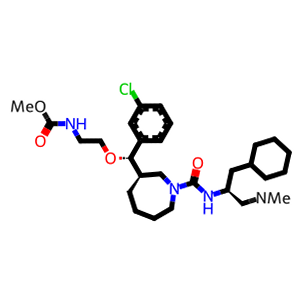 CNC[C@H](CC1CCCCC1)NC(=O)N1CCCC[C@@H]([C@H](OCCNC(=O)OC)c2cccc(Cl)c2)C1